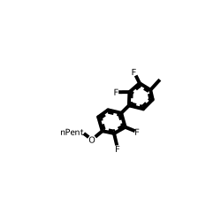 CCCCCOc1ccc(-c2ccc(C)c(F)c2F)c(F)c1F